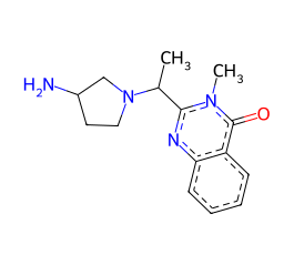 CC(c1nc2ccccc2c(=O)n1C)N1CCC(N)C1